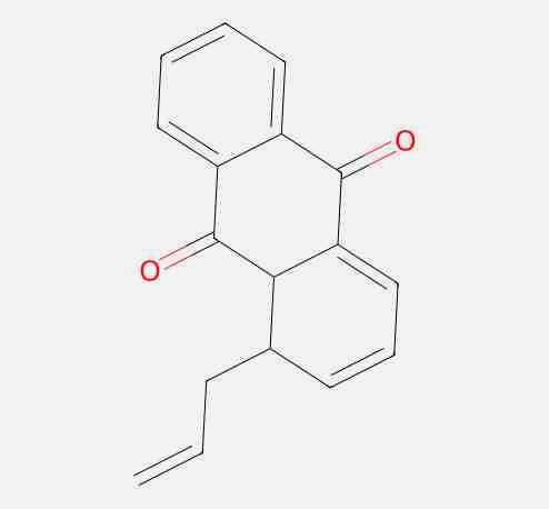 C=CCC1C=CC=C2C(=O)c3ccccc3C(=O)C21